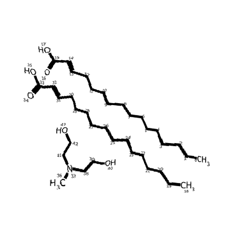 CCCCCCCCCCCCCC=CC(=O)O.CCCCCCCCCCCCCC=CC(=O)O.CN(CCO)CCO